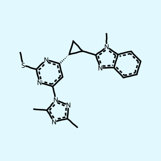 CSc1nc([C@@H]2CC2c2nc3ccccc3n2C)cc(-n2nc(C)nc2C)n1